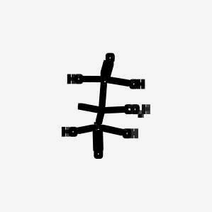 CC(C(=O)O)(P(=O)(O)O)P(=O)(O)O